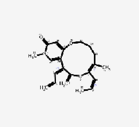 C=C/C=C1\C(=C)OC(/C=C\C)=C(/C)CCCOc2cc(=O)n(C)cc21